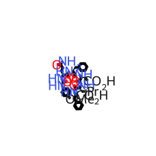 COc1ccc(NC(=O)N[C@@H](CCC(N)=O)C(=O)N[C@@H](CC2CCCCC2)C(=O)N[C@@H](CC(=O)O)C(=O)N[C@@H](CC(C)C)C(=O)N[C@@H](Cc2ccccc2)C(=O)O)cc1